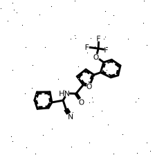 N#CC(NC(=O)c1ccc(-c2ccccc2OC(F)(F)F)o1)c1ccccc1